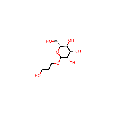 OCCCO[C@H]1O[C@H](CO)[C@@H](O)[C@H](O)[C@@H]1O